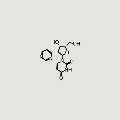 O=c1ccn([C@H]2C[C@H](O)[C@@H](CO)O2)c(=O)[nH]1.c1cncnc1